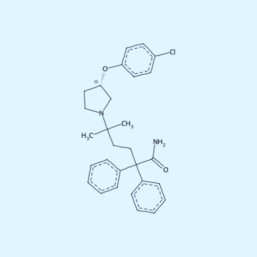 CC(C)(CCC(C(N)=O)(c1ccccc1)c1ccccc1)N1CC[C@H](Oc2ccc(Cl)cc2)C1